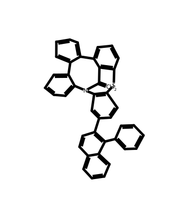 C=C1c2c3cccc2-c2ccccc2-c2ccccc2N1c1cc(-c2ccc4ccccc4c2-c2ccccc2)ccc1S3